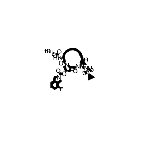 CC(C)(C)OC(=O)N[C@H]1CCCCC/C=C\[C@@H]2C[C@@]2(CNS(=O)(=O)C2CC2)NC(=O)[C@@H]2C[C@@H](OC(=O)N3Cc4cccc(F)c4C3)CN2C1=O